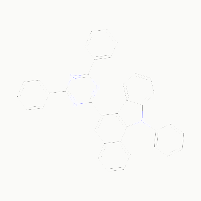 c1ccc(-c2nc(-c3ccccc3)nc(-c3cc4ccccc4c4c3c3ccccc3n4-c3ccccc3)n2)cc1